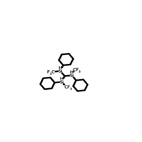 FC(F)(F)[SiH](C1CCCCC1)C([SiH](C1CCCCC1)C(F)(F)F)[SiH](C1CCCCC1)C(F)(F)F